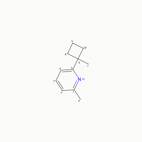 Cc1cccc(C2(C)CCC2)n1